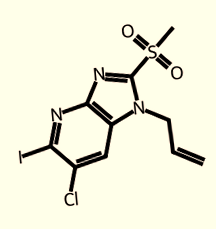 C=CCn1c(S(C)(=O)=O)nc2nc(I)c(Cl)cc21